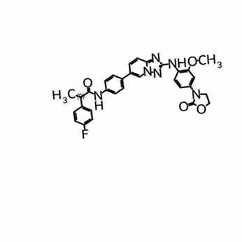 COc1cc(N2CCOC2=O)ccc1Nc1nc2ccc(-c3ccc(NC(=O)[C@H](C)c4ccc(F)cc4)cc3)cn2n1